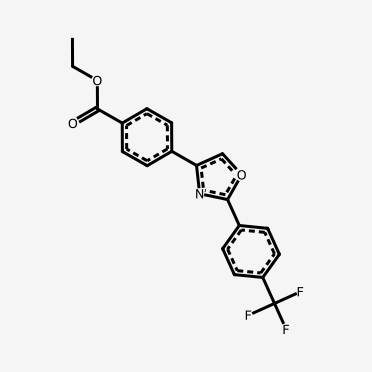 CCOC(=O)c1ccc(-c2coc(-c3ccc(C(F)(F)F)cc3)n2)cc1